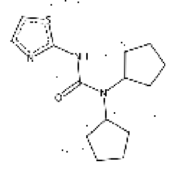 O=C(Nc1nccs1)N(C1CCCC1)C1CCCC1